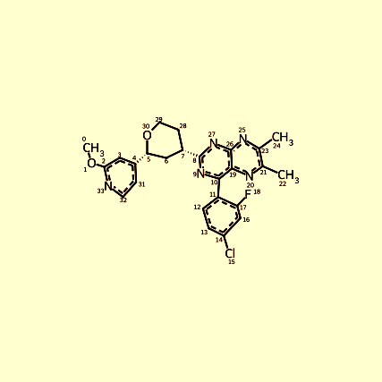 COc1cc([C@H]2C[C@@H](c3nc(-c4ccc(Cl)cc4F)c4nc(C)c(C)nc4n3)CCO2)ccn1